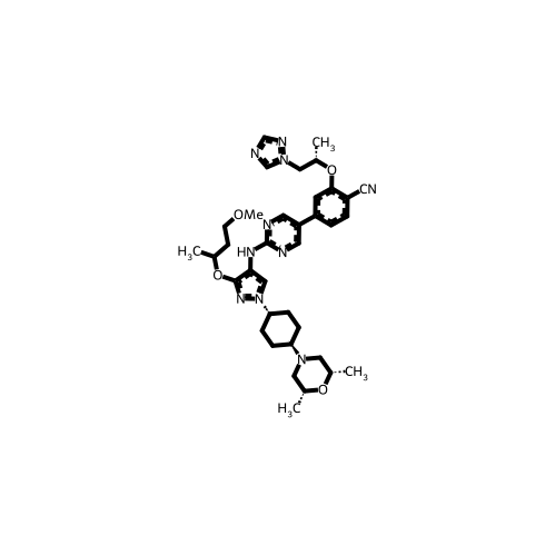 COCCC(C)Oc1nn([C@H]2CC[C@H](N3C[C@@H](C)O[C@@H](C)C3)CC2)cc1Nc1ncc(-c2ccc(C#N)c(O[C@@H](C)Cn3cncn3)c2)cn1